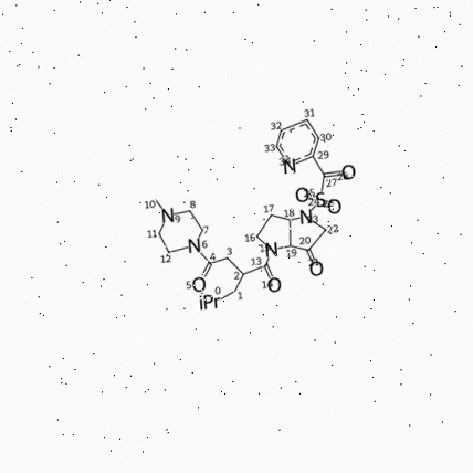 CC(C)CC(CC(=O)N1CCN(C)CC1)C(=O)N1CCC2C1C(=O)CN2S(=O)(=O)C(=O)c1ccccn1